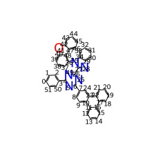 c1ccc(-c2nc(-c3ccc4c5ccccc5c5ccccc5c4c3)nc(-c3nc4ccccc4n3-c3cccc4oc5ccccc5c34)n2)cc1